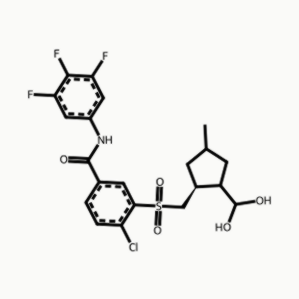 CC1CC(C(O)O)[C@@H](CS(=O)(=O)c2cc(C(=O)Nc3cc(F)c(F)c(F)c3)ccc2Cl)C1